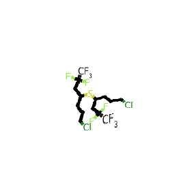 FC(F)(F)C(F)(F)CC(CCCCl)SC(CCCCl)CC(F)(F)C(F)(F)F